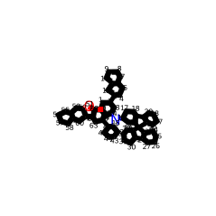 c1cc(-c2ccc3ccccc3c2)cc(N(c2ccc3c(c2)C2(c4ccccc4-c4ccccc42)c2ccccc2-3)c2ccccc2-c2ccc3oc4cc5ccccc5cc4c3c2)c1